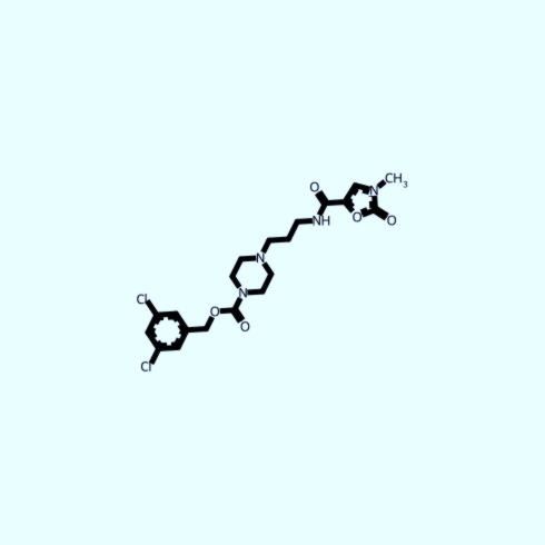 Cn1cc(C(=O)NCCCN2CCN(C(=O)OCc3cc(Cl)cc(Cl)c3)CC2)oc1=O